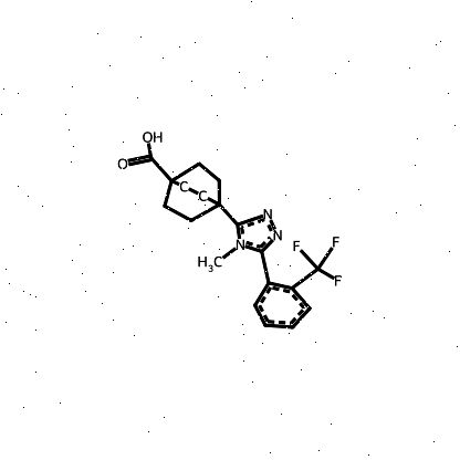 Cn1c(-c2ccccc2C(F)(F)F)nnc1C12CCC(C(=O)O)(CC1)CC2